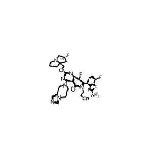 N#CCCn1c(-c2ccc(F)c3sc(N)nc23)c(F)c2nc(OC[C@@]34CCCN3C[C@H](F)C4)nc(N3CCn4cncc4C3)c2c1=O